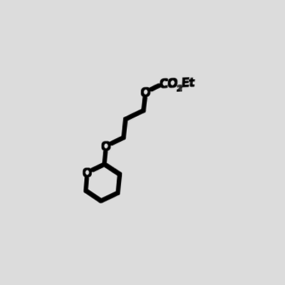 C[CH]OC(=O)OCCCOC1CCCCO1